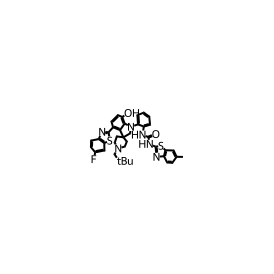 Cc1ccc2nc(NC(=O)Nc3ccccc3N3CC4(CCN(CC(C)(C)C)CC4)c4c(-c5nc6ccc(F)cc6s5)ccc(O)c43)sc2c1